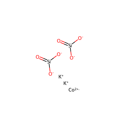 O=[Si]([O-])[O-].O=[Si]([O-])[O-].[Co+2].[K+].[K+]